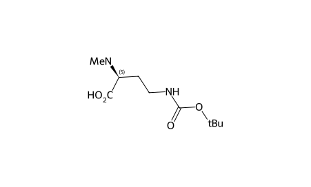 CN[C@@H](CCNC(=O)OC(C)(C)C)C(=O)O